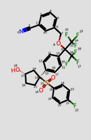 N#Cc1cccc(COC(c2ccc([C@]3(S(=O)(=O)c4ccc(F)cc4)CC[C@H](O)C3)cc2)(C(F)(F)F)C(F)(F)F)c1